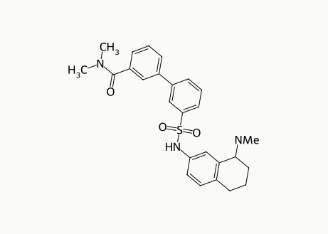 CNC1CCCc2ccc(NS(=O)(=O)c3cccc(-c4cccc(C(=O)N(C)C)c4)c3)cc21